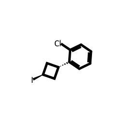 Clc1ccccc1[C@H]1C[C@H](I)C1